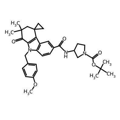 COc1ccc(Cn2c3c(c4cc(C(=O)NC5CCN(C(=O)OC(C)(C)C)C5)ccc42)C2(CC2)CC(C)(C)C3=O)cc1